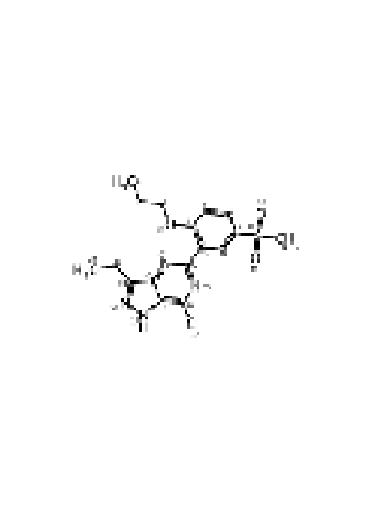 CCCOc1ccc(S(C)(=O)=O)cc1-c1nc(Cl)c2[nH]nc(CC)c2n1